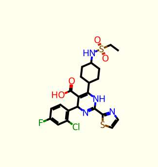 CCS(=O)(=O)NC1CCC(C2=C(C(=O)O)C(c3ccc(F)cc3Cl)N=C(c3nccs3)N2)CC1